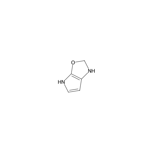 c1cc2c([nH]1)OCN2